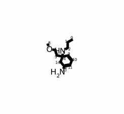 CCCNC1(CCOC)C=CC=C(N)C1